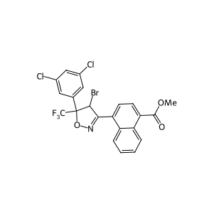 COC(=O)c1ccc(C2=NOC(c3cc(Cl)cc(Cl)c3)(C(F)(F)F)C2Br)c2ccccc12